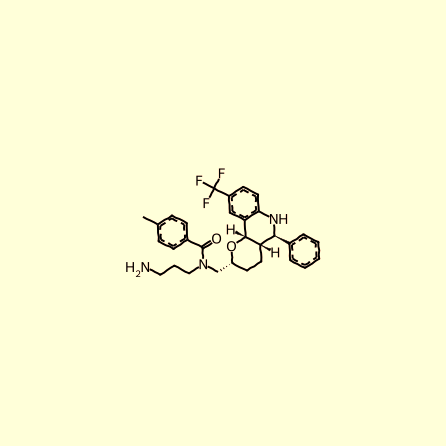 Cc1ccc(C(=O)N(CCCN)C[C@H]2CC[C@@H]3[C@H](O2)c2cc(C(F)(F)F)ccc2N[C@H]3c2ccccc2)cc1